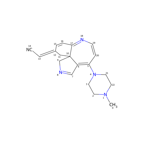 CN1CCN(C2=C3C=NCC34CC(=CC#N)C=CC4=NC=C2)CC1